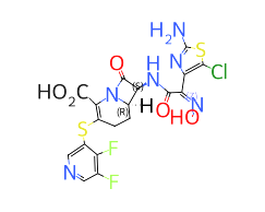 Nc1nc(/C(=N/O)C(=O)N[C@@H]2C(=O)N3C(C(=O)O)=C(Sc4cncc(F)c4F)CC[C@H]23)c(Cl)s1